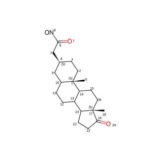 C[C@]12CC[C@H](CC(=O)N=O)CC1CCC1C2CC[C@]2(C)C(=O)CCC12